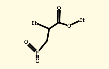 CCOC(=O)C(CC)CP(=O)=O